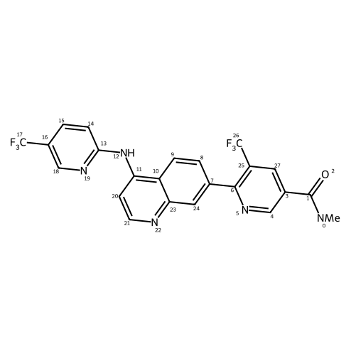 CNC(=O)c1cnc(-c2ccc3c(Nc4ccc(C(F)(F)F)cn4)ccnc3c2)c(C(F)(F)F)c1